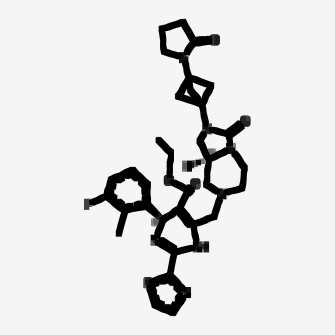 CCOC(=O)C1=C(CN2CCN3C(=O)N(C45CC(N6CCCC6=O)(C4)C5)C[C@@H]3C2)NC(c2nccs2)=N[C@H]1c1cccc(F)c1C